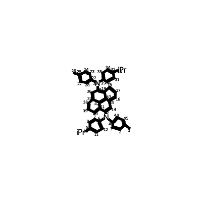 Cc1ccc(N(c2ccc(C(C)C)cc2)c2cc3cccc4c(N(c5ccc(C)cc5)c5ccc(C(C)C)cc5)cc5cccc2c5c34)cc1